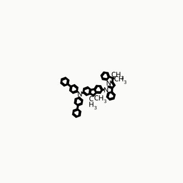 CC1(C)c2cc(N(c3ccc(-c4ccccc4)cc3)c3ccc(-c4ccccc4)cc3)ccc2-c2ccc(-n3c4ccccc4c4cc5n(c43)-c3ccccc3C5(C)C)cc21